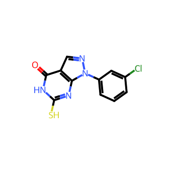 O=c1[nH]c(S)nc2c1cnn2-c1cccc(Cl)c1